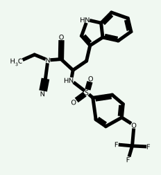 CCN(C#N)C(=O)C(Cc1c[nH]c2ccccc12)NS(=O)(=O)c1ccc(OC(F)(F)F)cc1